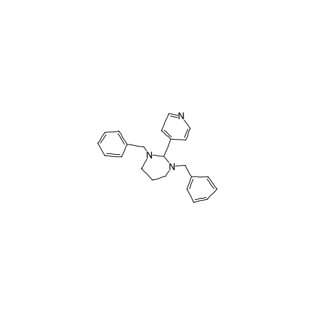 c1ccc(CN2CCCN(Cc3ccccc3)C2c2ccncc2)cc1